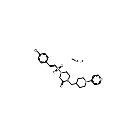 CS(=O)(=O)O.O=C1CN(S(=O)(=O)/C=C/c2ccc(Cl)cc2)CCN1CC1CCN(c2ccncc2)CC1